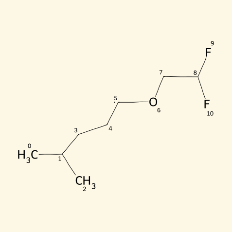 CC(C)CC[CH]OCC(F)F